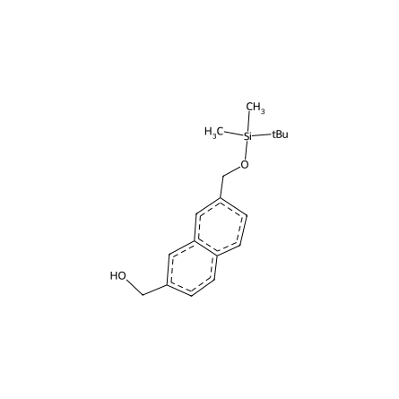 CC(C)(C)[Si](C)(C)OCc1ccc2ccc(CO)cc2c1